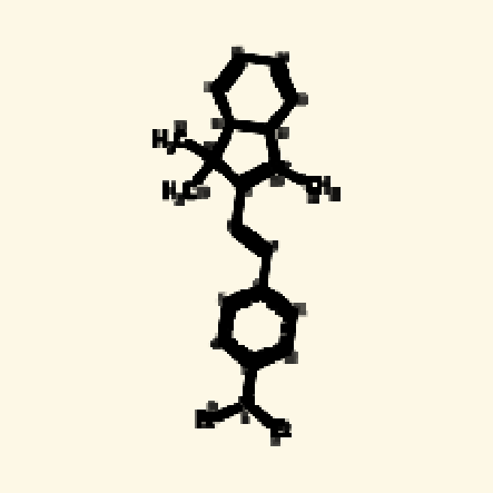 CCN(CC)c1ccc(/C=C/C2=[N+](C)C3C=CC=CC3C2(C)C)cc1